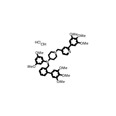 COc1cc(OC)cc(N(Cc2ccccc2-c2cc(OC)c(OC)c(OC)c2)C2CCN(Cc3ccnc(-c4cc(OC)c(OC)c(OC)c4)c3)CC2)c1.Cl.Cl